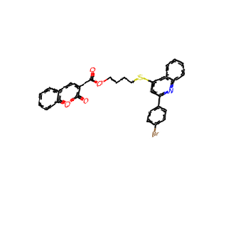 O=C(OCCCCSc1cc(-c2ccc(Br)cc2)nc2ccccc12)c1cc2ccccc2oc1=O